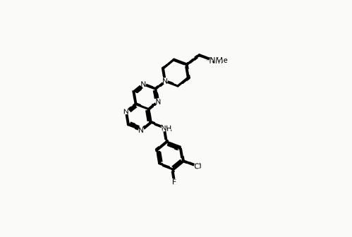 CNCC1CCN(c2ncc3ncnc(Nc4ccc(F)c(Cl)c4)c3n2)CC1